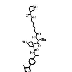 Cc1ncsc1-c1ccc(C(C)NC(=O)[C@@H]2C[C@@H](O)CN2C(=O)C(NC(=O)CCCCCNC(=O)[C@H]2CCNC2)C(C)(C)C)cc1